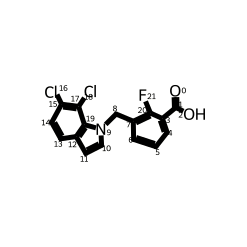 O=C(O)c1cccc(Cn2ccc3ccc(Cl)c(Cl)c32)c1F